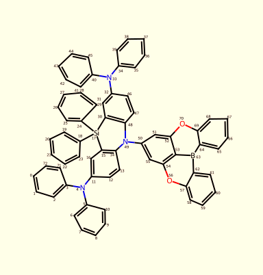 c1ccc(N(c2ccccc2)c2ccc3c(c2)[Si](c2ccccc2)(c2ccccc2)c2cc(N(c4ccccc4)c4ccccc4)ccc2N3c2cc3c4c(c2)Oc2ccccc2B4c2ccccc2O3)cc1